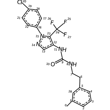 Cc1cccc(CCNC(=O)Nc2cnn(-c3ccc(Cl)cc3)c2C(F)(F)F)c1